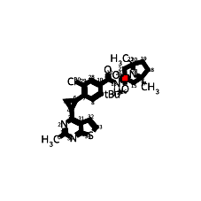 Cc1nc(C2CC2c2ccc(C(=O)NC3C[C@]4(C)CC[C@](C)(C3)N4C(=O)OC(C)(C)C)cc2Cl)c2ccsc2n1